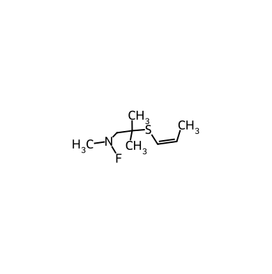 C/C=C\SC(C)(C)CN(C)F